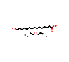 C=CCOCC=C.O=C(O)CCCCCCCCCCCCCCO